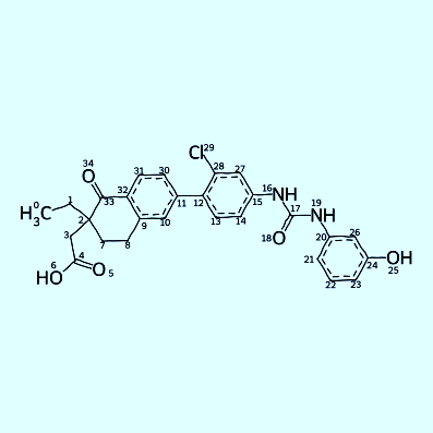 CCC1(CC(=O)O)CCc2cc(-c3ccc(NC(=O)Nc4cccc(O)c4)cc3Cl)ccc2C1=O